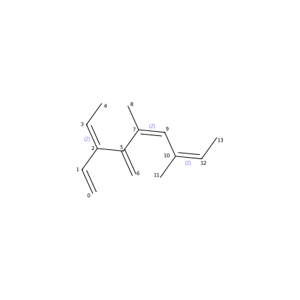 C=C/C(=C/C)C(=C)/C(C)=C\C(C)=C/C